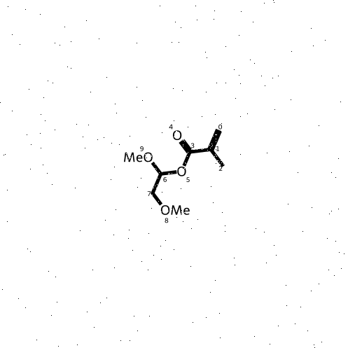 C=C(C)C(=O)OC(COC)OC